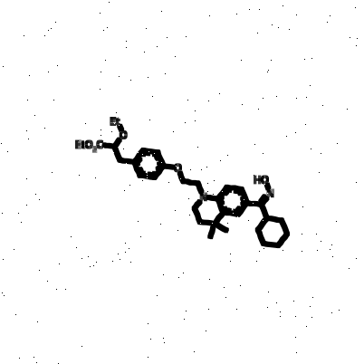 CCOC(=O)C(Cc1ccc(OCCN2CCC(C)(C)c3cc(/C(=N\O)C4CCCCC4)ccc32)cc1)OCC